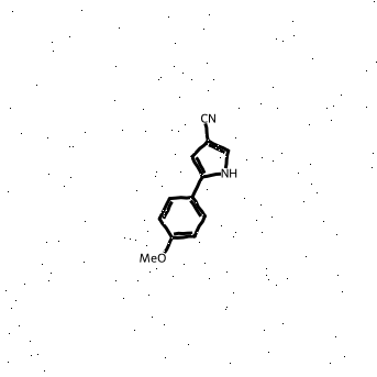 COc1ccc(-c2cc(C#N)c[nH]2)cc1